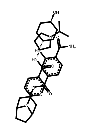 CC(C)N1CC[C@@H](NC(=O)c2ccc(N3C4CCC3CC(NC(=O)c3ccc(C(N)=O)c(N[C@H]5CC[C@H](O)CC5)c3)C4)nc2)C1